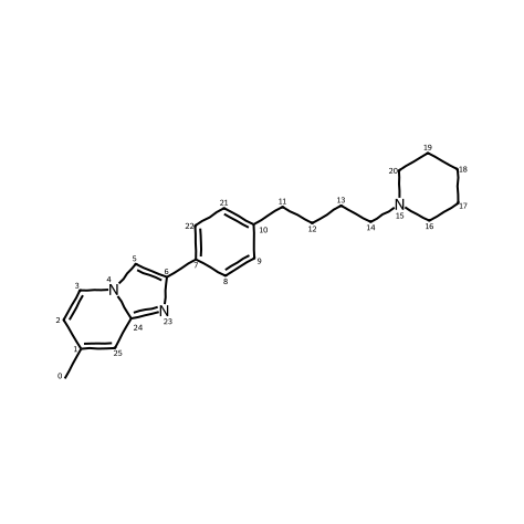 Cc1ccn2cc(-c3ccc(CCCCN4CCCCC4)cc3)nc2c1